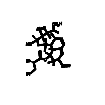 CC[C@@H](CC(C)C)C(=O)O[C@@]1(C)C(C)(C)C(OC)C=C2C=C[C@H](C)[C@H](C(C)(C)C[C@@](C)(O)C(C)(C)[C@@](C)(OC)C(C)C(=O)O)[C@]21C